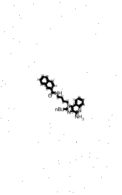 CCCCc1nc2c(N)nc3ccccc3c2n1CCCCNC(=O)c1ccc2ccccc2c1